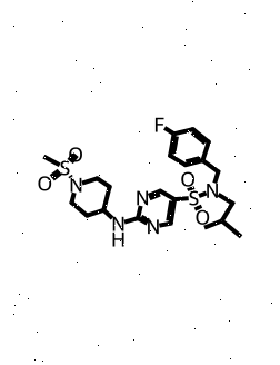 CC(C)CN(Cc1ccc(F)cc1)S(=O)(=O)c1cnc(NC2CCN(S(C)(=O)=O)CC2)nc1